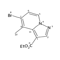 CCOC(=O)c1cnn2ccc(Br)c(C)c12